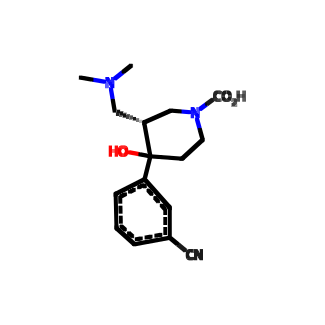 CN(C)C[C@@H]1CN(C(=O)O)CCC1(O)c1cccc(C#N)c1